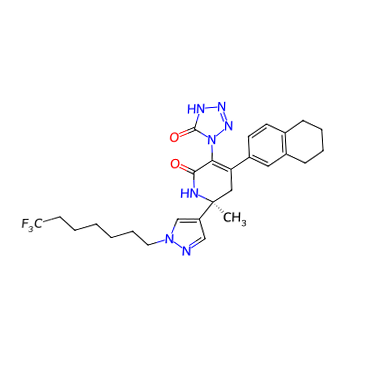 C[C@@]1(c2cnn(CCCCCCC(F)(F)F)c2)CC(c2ccc3c(c2)CCCC3)=C(n2nn[nH]c2=O)C(=O)N1